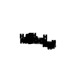 C[C@@H](O)[C@H](NC(=O)c1ccc(-c2ccc(NC(=O)CNC3C[C@H]4CC[C@@H]3C4)cc2)cc1)C(=O)NO